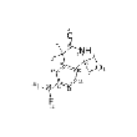 CC1(C)C(=O)NC2(COC2)c2ccc(C(F)F)cc21